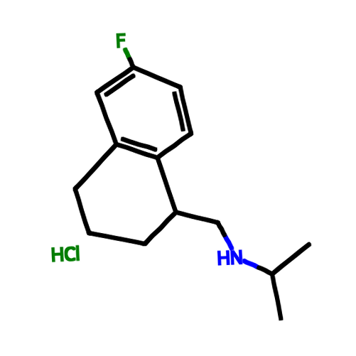 CC(C)NCC1CCCc2cc(F)ccc21.Cl